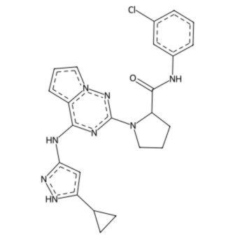 O=C(Nc1cccc(Cl)c1)C1CCCN1c1nc(Nc2cc(C3CC3)[nH]n2)c2cccn2n1